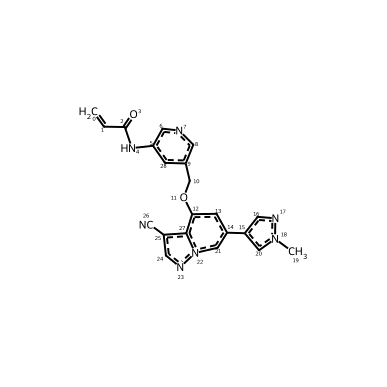 C=CC(=O)Nc1cncc(COc2cc(-c3cnn(C)c3)cn3ncc(C#N)c23)c1